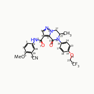 COc1ccc(NC(=O)c2cnn3c2C(=O)N(c2ccc(OCC(F)(F)F)cc2)C(C)C3)cc1C#N